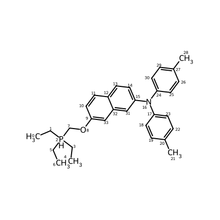 CC[PH](CC)(CC)COc1ccc2ccc(N(c3ccc(C)cc3)c3ccc(C)cc3)cc2c1